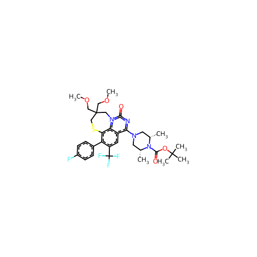 COCC1(COC)CSc2c(-c3ccc(F)cc3)c(C(F)(F)F)cc3c(N4C[C@@H](C)N(C(=O)OC(C)(C)C)[C@@H](C)C4)nc(=O)n(c23)C1